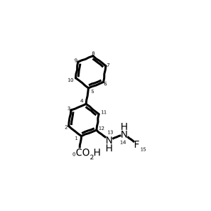 O=C(O)c1ccc(-c2ccccc2)cc1NNF